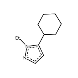 CCn1nccc1C1CCCCC1